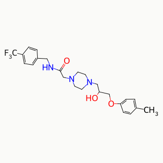 Cc1ccc(OCC(O)CN2CCN(CC(=O)NCc3ccc(C(F)(F)F)cc3)CC2)cc1